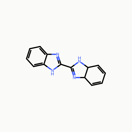 C1=CC2N=C(c3nc4ccccc4[nH]3)NC2C=C1